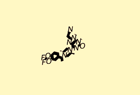 CC(c1ccc2c(c1)OC(F)(F)O2)N1C[C@H](C)N(c2nc(=O)n(C)c3c2nc(CC#N)n3C)C[C@H]1C